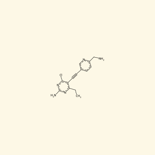 CCc1nc(N)nc(Cl)c1C#Cc1ccc(CN)nc1